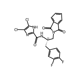 O=C(N[C@@H](Cc1ccc(F)c(F)c1)CN1C(=O)c2ccccc2C1=O)c1nc(Cl)c(Cl)[nH]1